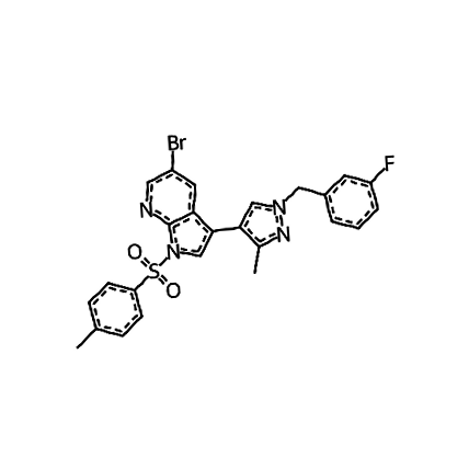 Cc1ccc(S(=O)(=O)n2cc(-c3cn(Cc4cccc(F)c4)nc3C)c3cc(Br)cnc32)cc1